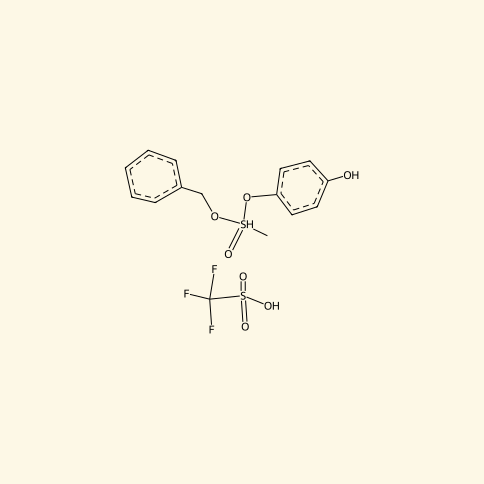 C[SH](=O)(OCc1ccccc1)Oc1ccc(O)cc1.O=S(=O)(O)C(F)(F)F